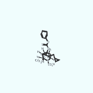 O=C(O)[C@@H]1[C@@H]2CC[C@@H]([C@@H](CC3CC3)[C@H]2OC(=S)Oc2ccccc2)N1C(=O)O